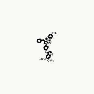 COc1cc2nccc(Oc3ccc(N4CC(Cc5ccccc5)C(S(=O)(=O)c5ccc(C)cc5)C4=O)cc3)c2cc1OC